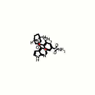 Cc1cc(S(N)(=O)=O)ccc1C(=O)N1[C@@H]2CC[C@H]1CN(c1ncnc3[nH]ccc13)C2